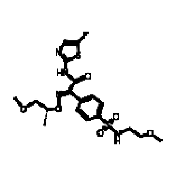 COCCNS(=O)(=O)c1ccc(/C(=N\O[C@H](C)COC)C(=O)Nc2ncc(F)s2)cc1